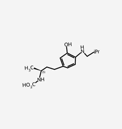 CC(C)CNc1ccc(CC[C@H](C)NC(=O)O)cc1O